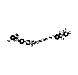 N#Cc1ccc2ncnc(N[C@H]3CC[C@H](N4CCN(S(=O)(=O)CCOCCOCCOCCOc5ccc6c(c5)C(=O)N(C5CCC(=O)NC5=O)C6=O)CC4)CC3)c2c1